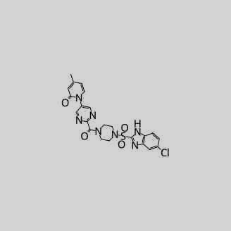 Cc1ccn(-c2cnc(C(=O)N3CCN(S(=O)(=O)c4nc5cc(Cl)ccc5[nH]4)CC3)nc2)c(=O)c1